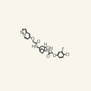 O=C(COc1ccn2nccc2c1)NC1=C2CC(NC(=O)COc3ccc(Cl)c(F)c3)(C2)[C@@H](O)C1